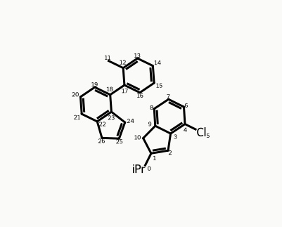 CC(C)C1=Cc2c(Cl)cccc2C1.Cc1ccccc1-c1cccc2c1C=CC2